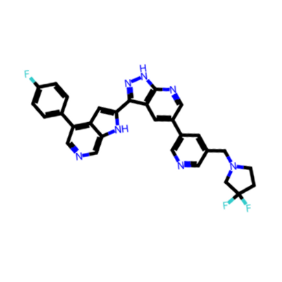 Fc1ccc(-c2cncc3[nH]c(-c4n[nH]c5ncc(-c6cncc(CN7CCC(F)(F)C7)c6)cc45)cc23)cc1